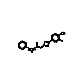 Cc1nc(N2CC(CN[C@@H]3C[C@H]3c3ccccc3)C2)ccc1C#N